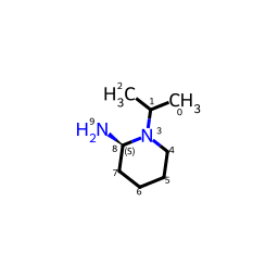 CC(C)N1CCCC[C@H]1N